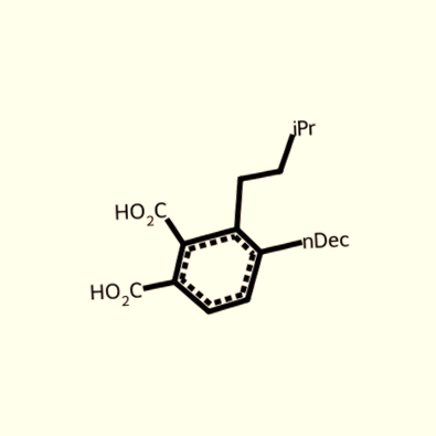 CCCCCCCCCCc1ccc(C(=O)O)c(C(=O)O)c1CCC(C)C